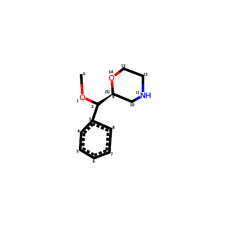 COC(c1ccccc1)[C@@H]1CNCCO1